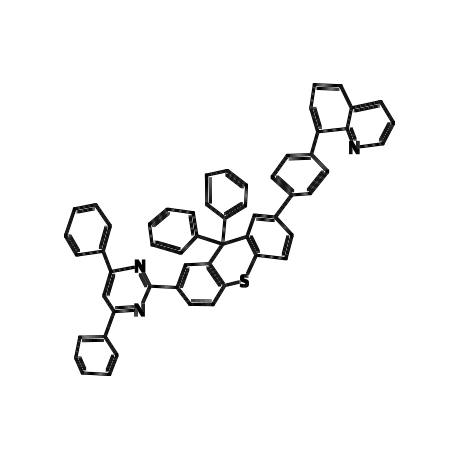 c1ccc(-c2cc(-c3ccccc3)nc(-c3ccc4c(c3)C(c3ccccc3)(c3ccccc3)c3cc(-c5ccc(-c6cccc7cccnc67)cc5)ccc3S4)n2)cc1